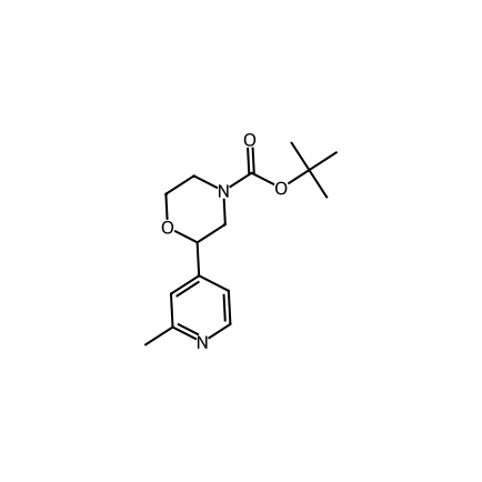 Cc1cc(C2CN(C(=O)OC(C)(C)C)CCO2)ccn1